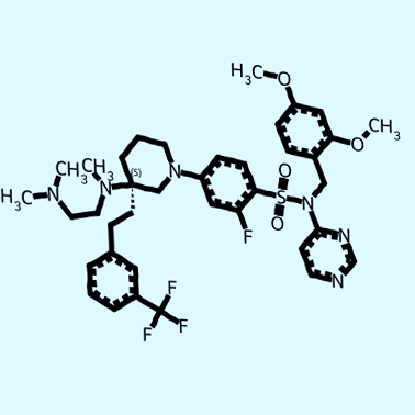 COc1ccc(CN(c2ccncn2)S(=O)(=O)c2ccc(N3CCC[C@](CCc4cccc(C(F)(F)F)c4)(N(C)CCN(C)C)C3)cc2F)c(OC)c1